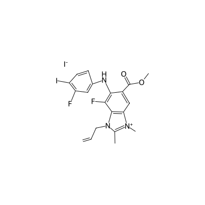 C=CCn1c(C)[n+](C)c2cc(C(=O)OC)c(Nc3ccc(I)c(F)c3)c(F)c21.[I-]